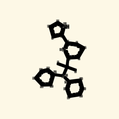 CC(C)(c1cccc(-c2ccc[nH]2)n1)P(c1ccccc1)c1ccccc1